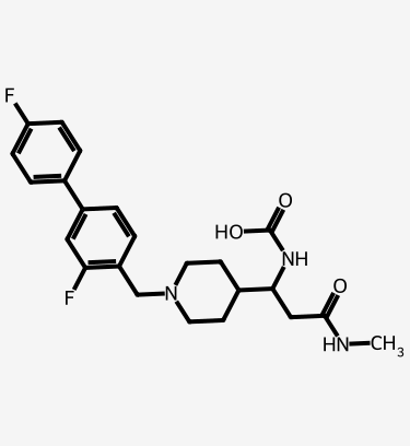 CNC(=O)CC(NC(=O)O)C1CCN(Cc2ccc(-c3ccc(F)cc3)cc2F)CC1